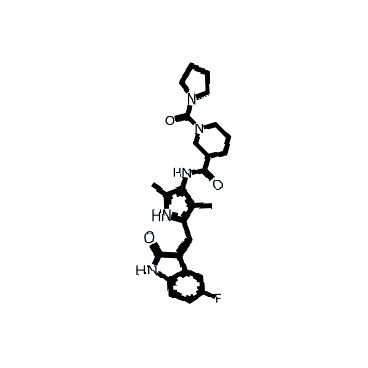 Cc1[nH]c(/C=C2\C(=O)Nc3ccc(F)cc32)c(C)c1NC(=O)C1CCCN(C(=O)N2CCCC2)C1